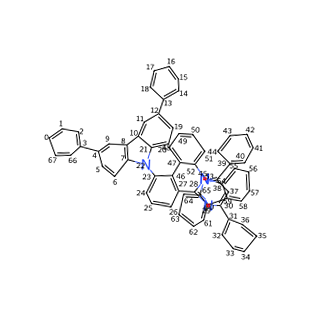 c1ccc(-c2ccc3c(c2)c2cc(-c4ccccc4)ccc2n3-c2cccc(-c3nc(-c4ccccc4)cc(-c4ccccc4)n3)c2-c2ccccc2-n2c3ccccc3c3ccccc32)cc1